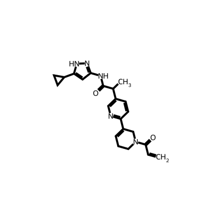 C=CC(=O)N1CCC=C(c2ccc(C(C)C(=O)Nc3cc(C4CC4)[nH]n3)cn2)C1